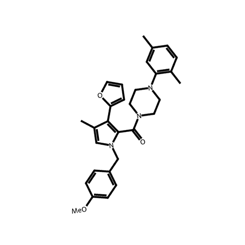 COc1ccc(Cn2cc(C)c(-c3ccco3)c2C(=O)N2CCN(c3cc(C)ccc3C)CC2)cc1